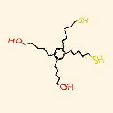 OCCCCCc1cc(CCCCCS)c(CCCCCS)cc1CCCCCO